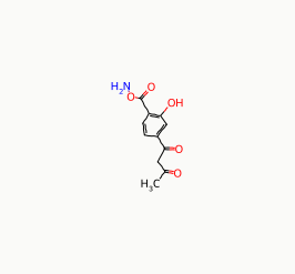 CC(=O)CC(=O)c1ccc(C(=O)ON)c(O)c1